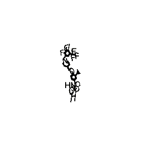 O=C(N[SH](=O)=O)c1ccc(OCC2CCN(Cc3cc(C(F)(F)F)cc(Cl)c3F)CC2)c(C2CC2)c1